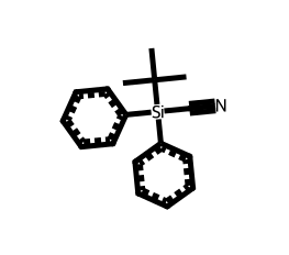 CC(C)(C)[Si](C#N)(c1ccccc1)c1ccccc1